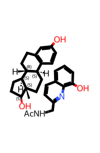 CC(=O)NCc1ccc2cccc(O)c2n1.C[C@]12CC[C@@H]3c4ccc(O)cc4CC[C@H]3[C@@H]1CC[C@@H]2O